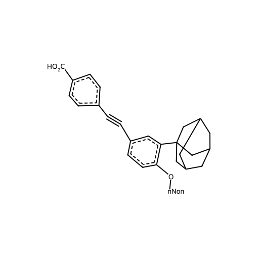 CCCCCCCCCOc1ccc(C#Cc2ccc(C(=O)O)cc2)cc1C12CC3CC(CC(C3)C1)C2